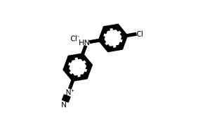 N#[N+]c1ccc(Nc2ccc(Cl)cc2)cc1.[Cl-]